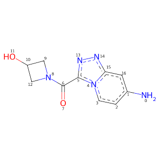 Nc1ccn2c(C(=O)N3CC(O)C3)nnc2c1